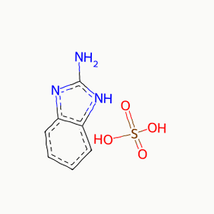 Nc1nc2ccccc2[nH]1.O=S(=O)(O)O